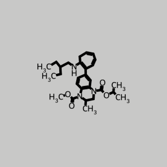 CCC(CC)CNC1=C(c2ccc3c(c2)N(C(=O)OC(C)C)CC(C)N3C(=O)OC)C=CC=CC1